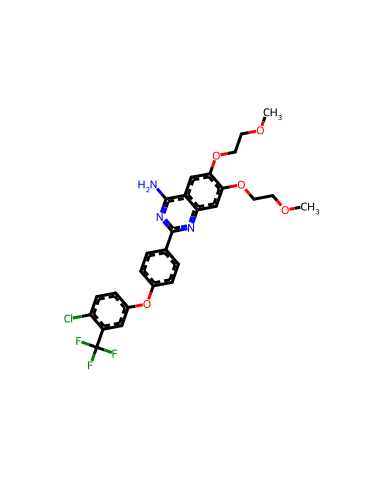 COCCOc1cc2nc(-c3ccc(Oc4ccc(Cl)c(C(F)(F)F)c4)cc3)nc(N)c2cc1OCCOC